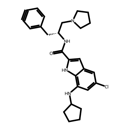 O=C(N[C@H](Cc1cc#ccc1)CN1CCCC1)c1cc2cc(Cl)cc(NC3CCCC3)c2[nH]1